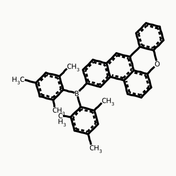 Cc1cc(C)c(B(c2ccc3cc4c5c(cccc5c3c2)Oc2ccccc2-4)c2c(C)cc(C)cc2C)c(C)c1